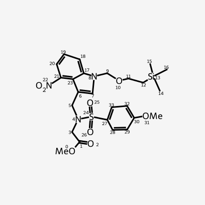 COC(=O)CN(Cc1cn(COCC[Si](C)(C)C)c2cccc([N+](=O)[O-])c12)S(=O)(=O)c1ccc(OC)cc1